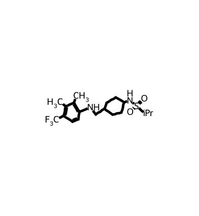 Cc1c(NCC2CCC(NS(=O)(=O)C(C)C)CC2)ccc(C(F)(F)F)c1C